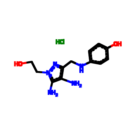 Cl.Nc1c(CNc2ccc(O)cc2)nn(CCO)c1N